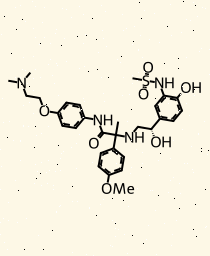 COc1ccc(C(C)(NC[C@@H](O)c2ccc(O)c(NS(C)(=O)=O)c2)C(=O)Nc2ccc(OCCN(C)C)cc2)cc1